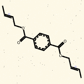 C/C=C/COC(=O)c1ccc(C(=O)OC/C=C/C)cc1